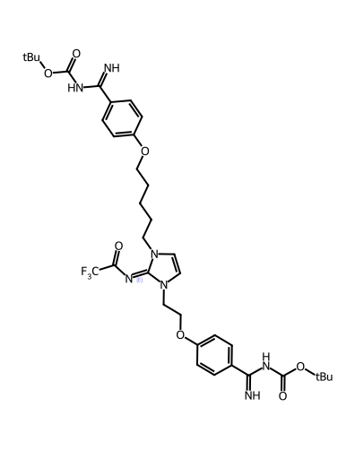 CC(C)(C)OC(=O)NC(=N)c1ccc(OCCCCCn2ccn(CCOc3ccc(C(=N)NC(=O)OC(C)(C)C)cc3)/c2=N/C(=O)C(F)(F)F)cc1